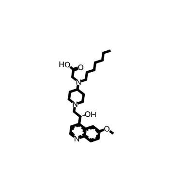 CCCCCCCN(CC(=O)O)C1CCN(C[C@H](O)c2ccnc3ccc(OC)cc23)CC1